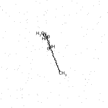 CCC=CCC=CCC=CCC=CCC=CCC=CCCC(=O)NCCSSCCNC(=O)c1ccc(C)nc1